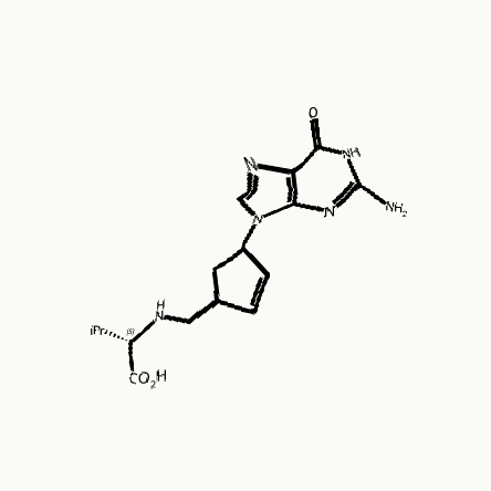 CC(C)[C@H](NCC1C=CC(n2cnc3c(=O)[nH]c(N)nc32)C1)C(=O)O